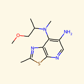 COCC(C)N(C)c1c(N)cnc2sc(C)nc12